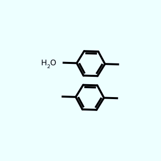 Cc1ccc(C)cc1.Cc1ccc(C)cc1.O